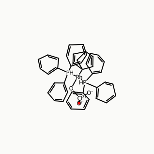 [O-][Cl+3]([O-])([O-])[O][Rh]([C]12C=CC(C=C1)C2)([PH](c1ccccc1)(c1ccccc1)c1ccccc1)[PH](c1ccccc1)(c1ccccc1)c1ccccc1